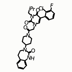 CC(C)Cn1c(=O)c(-c2cccc(F)c2Cl)cn(CC(=O)N2CCC(N3CCc4ccccc4NC3=O)CC2)c1=O